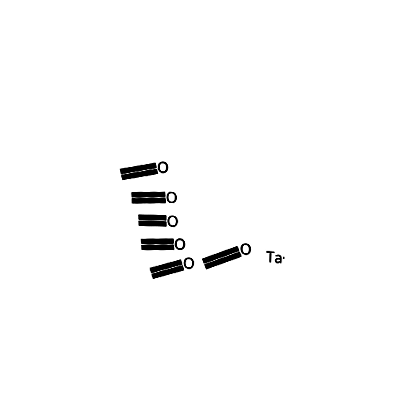 C=O.C=O.C=O.C=O.C=O.C=O.[Ta]